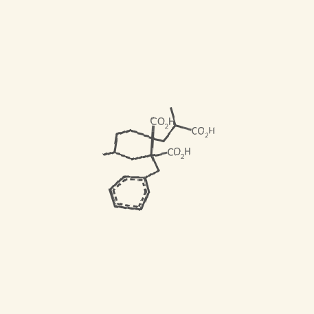 CC1CCC(CC(C)C(=O)O)(C(=O)O)C(Cc2ccccc2)(C(=O)O)C1